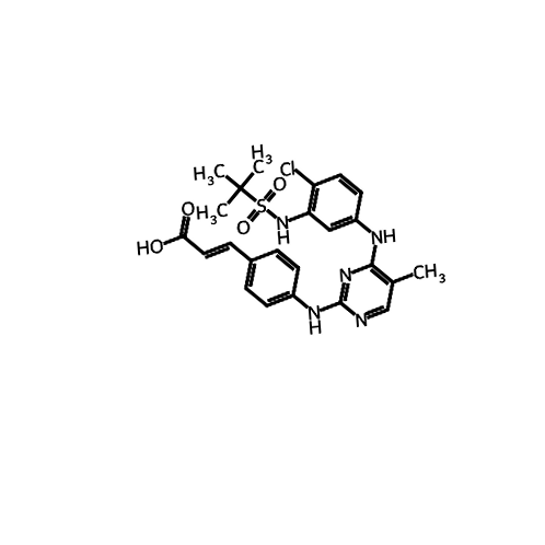 Cc1cnc(Nc2ccc(/C=C/C(=O)O)cc2)nc1Nc1ccc(Cl)c(NS(=O)(=O)C(C)(C)C)c1